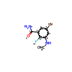 NC(=O)c1cc(Br)cc(NC=O)c1F